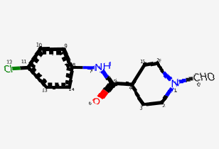 O=CN1CCC(C(=O)Nc2ccc(Cl)cc2)CC1